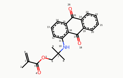 C=C(C)C(=O)OCC(C)(C)Nc1cccc2c1C(=O)c1ccccc1C2=O